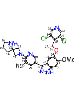 COc1cc2[nH]nc(-c3cnc(N4CC5(CCCN5)C4)c(C#N)c3)c2cc1O[C@H](C)c1c(Cl)cncc1Cl